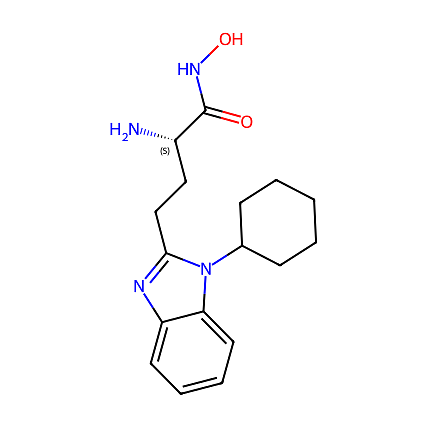 N[C@@H](CCc1nc2ccccc2n1C1CCCCC1)C(=O)NO